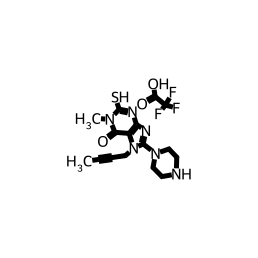 CC#CCn1c(N2CCNCC2)nc2nc(S)n(C)c(=O)c21.O=C(O)C(F)(F)F